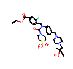 CCOC(=O)c1ccc(CN(C(=O)N2CCS(O)(O)CC2)c2ccc(CN3CCN(CC(C)(C)O)CC3)cc2)c(F)c1